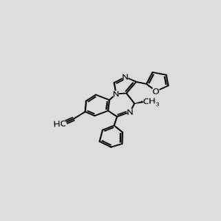 C#Cc1ccc2c(c1)C(c1ccccc1)=N[C@H](C)c1c(-c3ccco3)ncn1-2